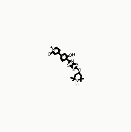 Cn1ccc(-c2ccc(-c3nc4sc(OC5CC(C)(C)NC(C)(C)C5)nc4s3)c(O)c2)cc1=O